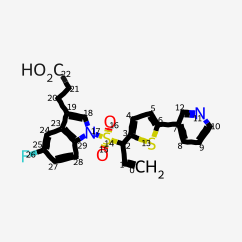 C=CC(c1ccc(-c2cccnc2)s1)S(=O)(=O)n1cc(CCC(=O)O)c2cc(F)ccc21